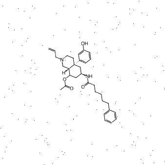 C=CCN1CC[C@@]2(c3cccc(O)c3)C[C@@H](NC(=O)CCCCCc3ccccc3)CC(OC(C)=O)[C@@H]2C1